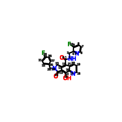 O=C(NCc1ncccc1F)c1c2c(c(O)c3ncccc13)C(=O)N(Cc1ccc(F)cc1)C2